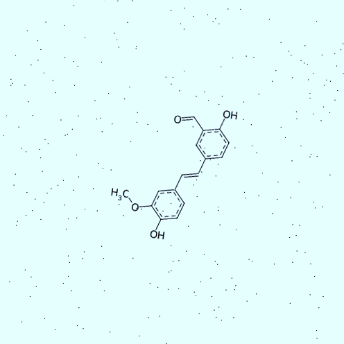 COc1cc(C=Cc2ccc(O)c(C=O)c2)ccc1O